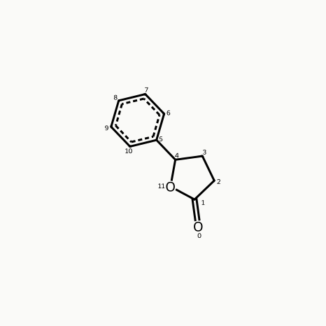 O=C1CCC(c2ccccc2)O1